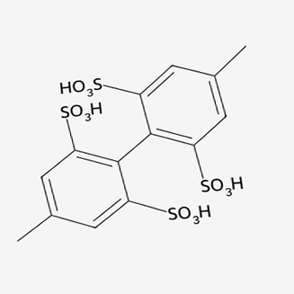 Cc1cc(S(=O)(=O)O)c(-c2c(S(=O)(=O)O)cc(C)cc2S(=O)(=O)O)c(S(=O)(=O)O)c1